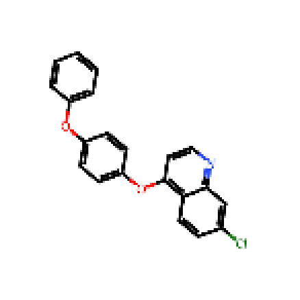 Clc1ccc2c(Oc3ccc(Oc4ccccc4)cc3)ccnc2c1